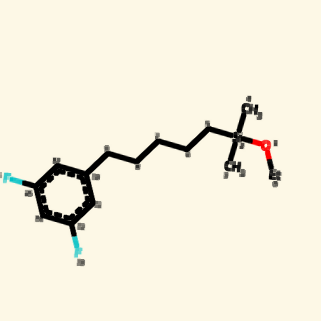 CCO[Si](C)(C)CCCCCc1cc(F)cc(F)c1